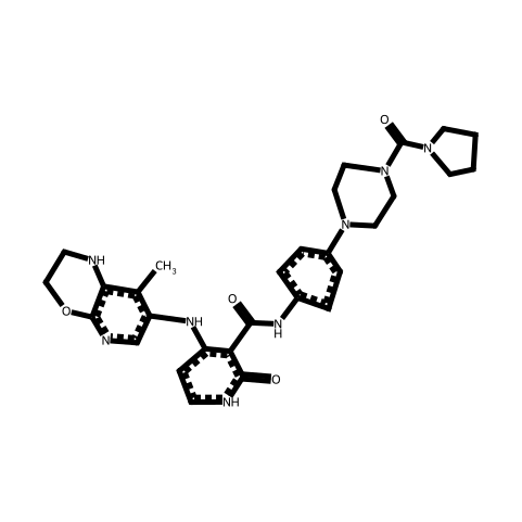 Cc1c(Nc2cc[nH]c(=O)c2C(=O)Nc2ccc(N3CCN(C(=O)N4CCCC4)CC3)cc2)cnc2c1NCCO2